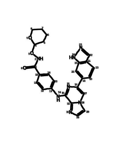 O=C(NOC1CCCCO1)c1ccc(Nc2nc(-c3ccc4cn[nH]c4c3)cn3ccnc23)cc1